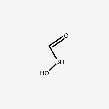 O=CBO